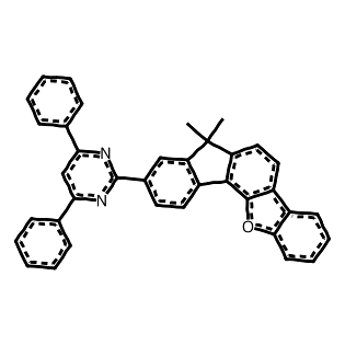 CC1(C)c2cc(-c3nc(-c4ccccc4)cc(-c4ccccc4)n3)ccc2-c2c1ccc1c2oc2ccccc21